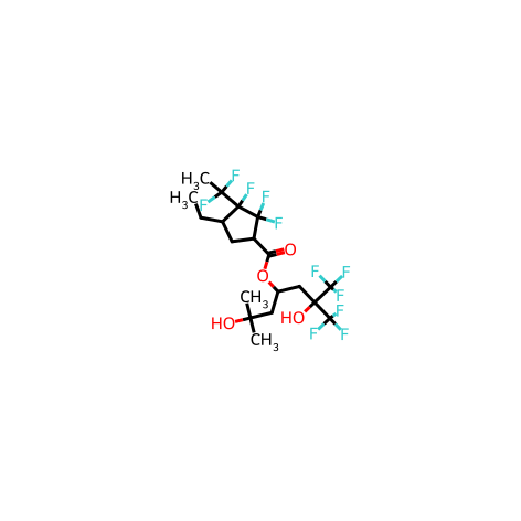 CCC1CC(C(=O)OC(CC(C)(C)O)CC(O)(C(F)(F)F)C(F)(F)F)C(F)(F)C1(F)C(C)(F)F